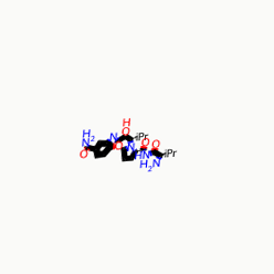 CC(C)[C@@H](C(O)c1nc2cc(C(N)=O)ccc2o1)N1CCC[C@H]1C(=O)NC(=O)[C@@H](N)C(C)C